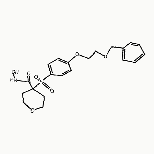 O=C(NO)C1(S(=O)(=O)c2ccc(OCCOCc3ccccc3)cc2)CCOCC1